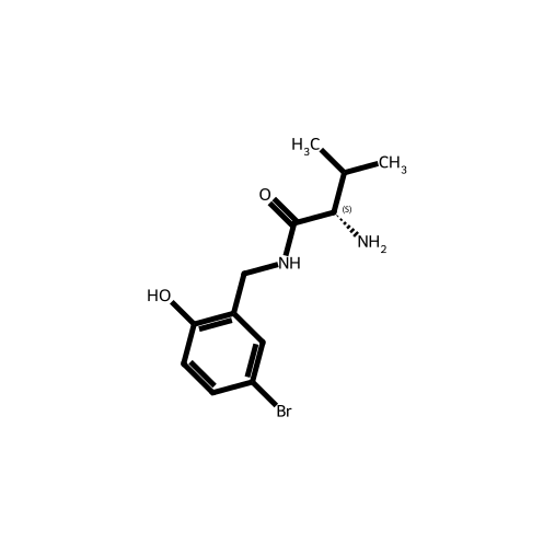 CC(C)[C@H](N)C(=O)NCc1cc(Br)ccc1O